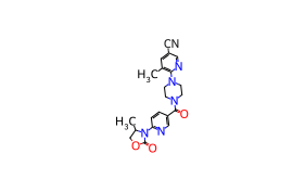 Cc1cc(C#N)cnc1N1CCN(C(=O)c2ccc(N3C(=O)OCC3C)nc2)CC1